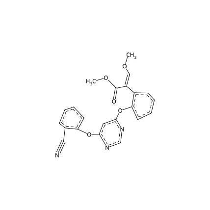 CO/C=C(\C(=O)OC)c1ccccc1Oc1cc(Oc2ccccc2C#N)ncn1